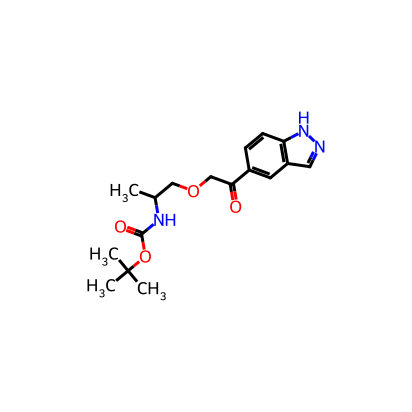 CC(COCC(=O)c1ccc2[nH]ncc2c1)NC(=O)OC(C)(C)C